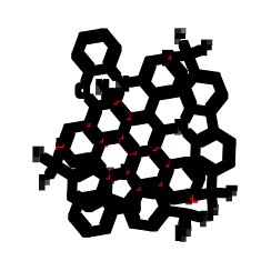 N#Cc1c(-c2ccccc2N2c3ccccc3Oc3ccccc32)c(-n2c3cc(C(F)(F)F)ccc3c3ccc(C(F)(F)F)cc32)c(-c2ccccc2)c(-n2c3cc(C(F)(F)F)ccc3c3ccc(C(F)(F)F)cc32)c1-c1ccccc1N1c2ccccc2Oc2ccccc21